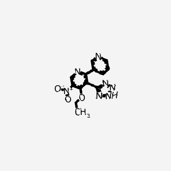 CCOc1c([N+](=O)[O-])cnc(-c2cccnc2)c1-c1nn[nH]n1